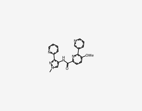 COc1ccc(C(=O)Nc2cn(C)nc2-c2ccccn2)nc1-c1cccnc1